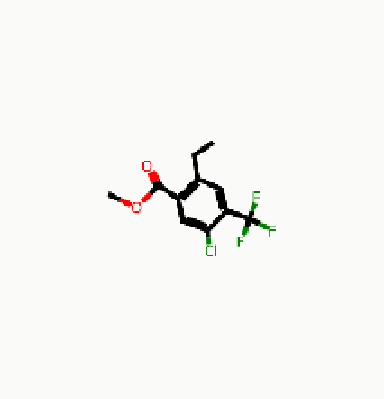 CCc1cc(C(F)(F)F)c(Cl)cc1C(=O)OC